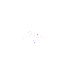 CCC(/C=C/S(=O)(=O)CC)N1C(=O)[C@@](C)(CC2COC(C)(C)O2)CC(c2cccc(Cl)c2)[C@H]1c1ccc(Cl)cc1